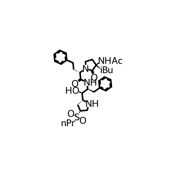 CCCS(=O)(=O)[C@H]1CN[C@@H]([C@@H](O)[C@H](Cc2ccccc2)NC(=O)[C@H](CCc2ccccc2)N2CC[C@](NC(C)=O)([C@H](C)CC)C2=O)C1